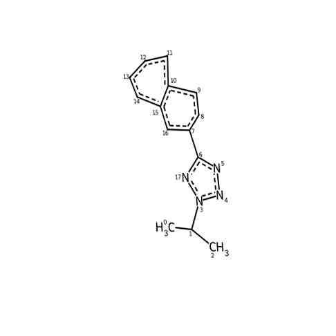 CC(C)n1nnc(-c2ccc3ccccc3c2)n1